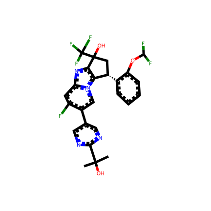 CC(C)(O)c1ncc(-c2cn3c4c(nc3cc2F)C(O)(C(F)(F)F)C[C@@H]4c2ccccc2OC(F)F)cn1